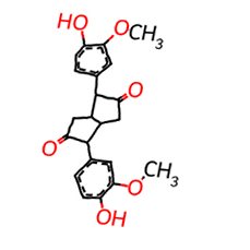 COc1cc(C2C(=O)CC3C(c4ccc(O)c(OC)c4)C(=O)CC23)ccc1O